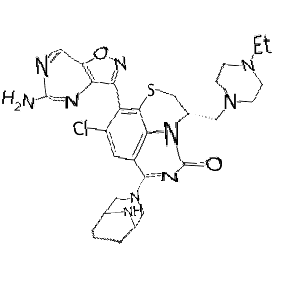 CCN1CCN(C[C@H]2CSc3c(-c4noc5cnc(N)nc45)c(Cl)cc4c(N5CC6CCC(C5)N6)nc(=O)n2c34)CC1